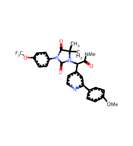 CNC(=O)C(c1ccnc(-c2ccc(OC)cc2)c1)N1C(=O)N(c2ccc(OC(F)(F)F)cc2)C(=O)C1(C)C